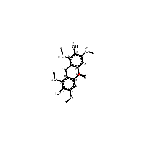 CCc1cc(OC)c(O)c(OC)c1Cc1c(CC)cc(OC)c(O)c1OC